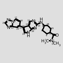 CN(C)C(=O)C1CCC(Nc2ncc3c(-c4ccn5ncnc5c4)c[nH]c3n2)CC1